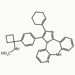 O=C(O)NC1(c2ccc(-c3c(C4=CCCCC4)nc4n3-c3cccnc3Nc3ccccc3-4)cc2)CCC1